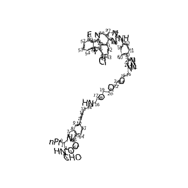 CCCC(C(=O)NC=O)N1Cc2cc(C#CCCNCCOCCOCCOCCn3cc(-c4ccc(Nc5ncc6c(n5)-c5ccc(Cl)cc5C(c5c(F)cccc5F)=NC6)cc4)nn3)ccc2C1=O